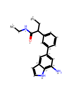 CC(C)CC(C(=O)NCC#N)c1cccc(-c2cc(N)c3[nH]ccc3c2)c1